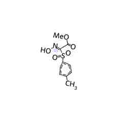 COC(=O)/C(=N/O)S(=O)(=O)c1ccc(C)cc1